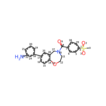 CS(=O)(=O)c1ccc(C(=O)N2CCOc3ccc(-c4cccc(N)c4)cc3C2)cc1